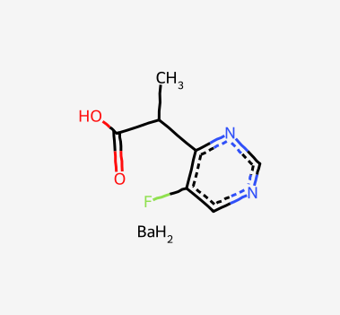 CC(C(=O)O)c1ncncc1F.[BaH2]